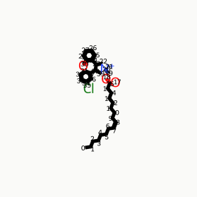 CCCCCCC/C=C\CCCCCCCC(=O)OC[N+]1(C)CC2c3ccccc3Oc3ccc(Cl)cc3C2C1